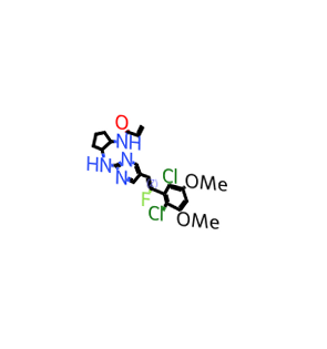 C=CC(=O)NC1CCCC1Nc1ncc(/C=C(\F)c2c(Cl)c(OC)cc(OC)c2Cl)cn1